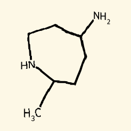 CC1CCC(N)CCN1